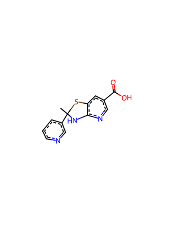 CC1(c2cccnc2)Nc2ncc(C(=O)O)cc2S1